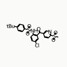 CC(C)(C)c1ccc(S(=O)(=O)Nc2ccc(Cl)cc2C(=O)c2ccc(S(C)(=O)=O)nc2)cc1